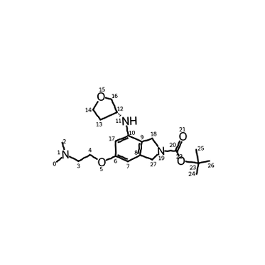 CN(C)CCOc1cc2c(c(N[C@@H]3CCOC3)c1)CN(C(=O)OC(C)(C)C)C2